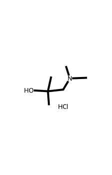 CN(C)CC(C)(C)O.Cl